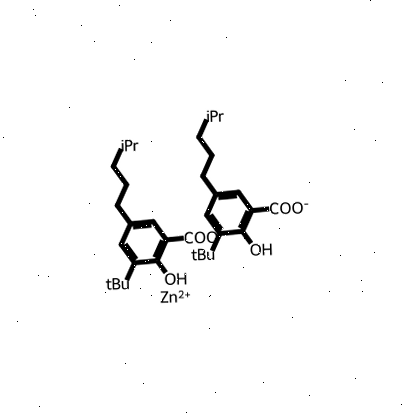 CC(C)CCCc1cc(C(=O)[O-])c(O)c(C(C)(C)C)c1.CC(C)CCCc1cc(C(=O)[O-])c(O)c(C(C)(C)C)c1.[Zn+2]